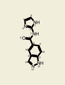 O=C(Nc1ncc[nH]1)c1ccc2[nH]ncc2c1